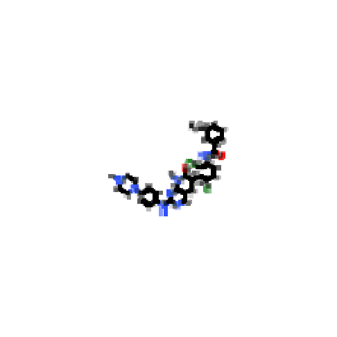 CN1CCN(c2ccc(Nc3ncc4cc(-c5c(Cl)ccc(NC(=O)c6cccc(C(F)(F)F)c6)c5Cl)c(=O)n(C)c4n3)cc2)CC1